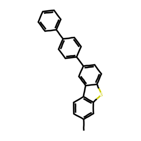 Cc1ccc2c(c1)sc1ccc(-c3ccc(-c4ccccc4)cc3)cc12